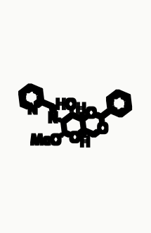 CO[C@H]1O[C@@H]2COC(c3ccccc3)O[C@H]2[C@@H](O)[C@H]1N=Cc1ccccn1